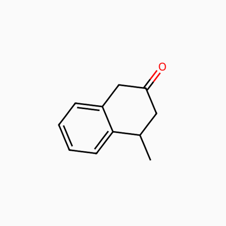 CC1CC(=O)Cc2ccccc21